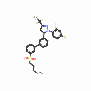 CNCCCS(=O)(=O)c1cccc(-c2cccc(C3CC(C(F)(F)C(F)(F)F)=NN3c3ccc(F)cc3F)c2)c1